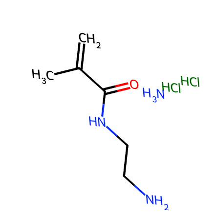 C=C(C)C(=O)NCCN.Cl.Cl.N